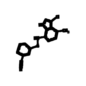 Cc1ccc(NSc2cccc(C#N)c2)c2[nH]cc(Cl)c12